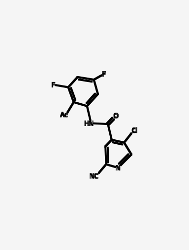 CC(=O)c1c(F)cc(F)cc1NC(=O)c1cc(C#N)ncc1Cl